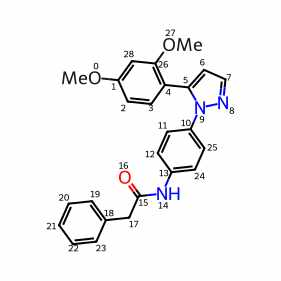 COc1ccc(-c2ccnn2-c2ccc(NC(=O)Cc3ccccc3)cc2)c(OC)c1